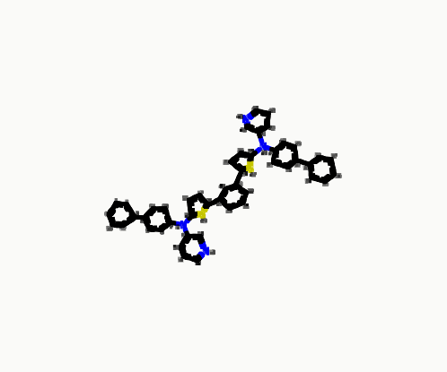 c1ccc(-c2ccc(N(c3cccnc3)c3ccc(-c4cccc(-c5ccc(N(c6ccc(-c7ccccc7)cc6)c6cccnc6)s5)c4)s3)cc2)cc1